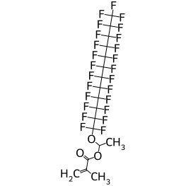 C=C(C)C(=O)OC(C)OC(F)(F)C(F)(F)C(F)(F)C(F)(F)C(F)(F)C(F)(F)C(F)(F)C(F)(F)C(F)(F)C(F)(F)C(F)(F)C(F)(F)F